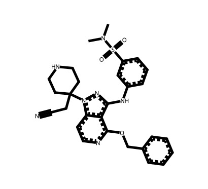 CN(C)S(=O)(=O)c1cccc(Nc2nn(C3(CC#N)CCNCC3)c3ccnc(OCc4ccccc4)c23)c1